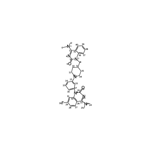 CN(C)c1nc(=O)n(CC2CCN(c3cccc(-n4c(=O)nc(N(C)C)c5ccc(F)cc54)c3)CC2)c2ccccc12